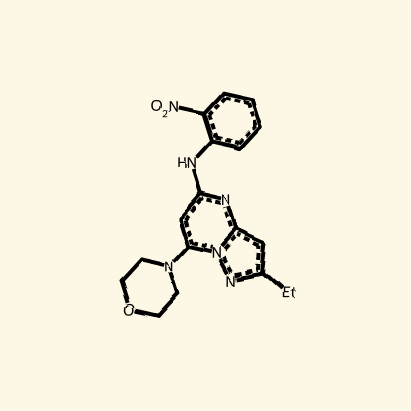 CCc1cc2nc(Nc3ccccc3[N+](=O)[O-])cc(N3CCOCC3)n2n1